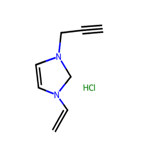 C#CCN1C=CN(C=C)C1.Cl